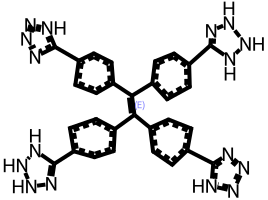 c1cc(/C(=C(/c2ccc(C3=NNNN3)cc2)c2ccc(-c3nnn[nH]3)cc2)c2ccc(-c3nnn[nH]3)cc2)ccc1C1=NNNN1